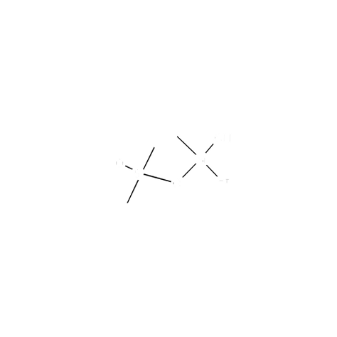 CC[Si](C)(O)O[Si](C)(C)O